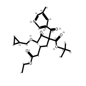 CCOC(=O)CCCC(C(=O)COCC1CC1)(C(=O)OC(C)(C)C)C(=O)c1cncc(C)c1